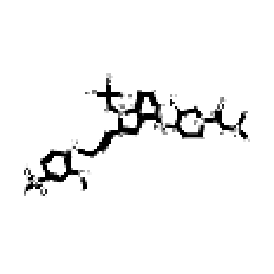 COc1cc(S(C)(=O)=O)ccc1NCC#Cc1cc2c(N[C@@H]3CCN(C(=O)CN(C)C)C[C@@H]3F)cccc2n1CC(F)(F)F